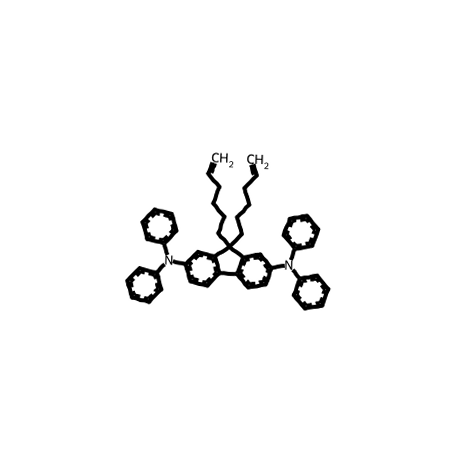 C=CCCCCC1(CCCCC=C)c2cc(N(c3ccccc3)c3ccccc3)ccc2-c2ccc(N(c3ccccc3)c3ccccc3)cc21